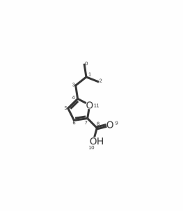 CC(C)Cc1ccc(C(=O)O)o1